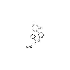 CNCCC(Oc1cccc(N2CCCN(C)CC2=O)c1)c1cccs1